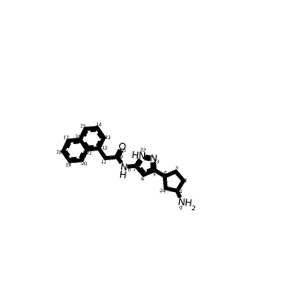 NC1CCC(c2cc(NC(=O)Cc3cccc4ccccc34)[nH]n2)C1